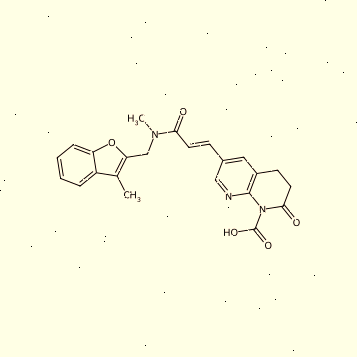 Cc1c(CN(C)C(=O)/C=C/c2cnc3c(c2)CCC(=O)N3C(=O)O)oc2ccccc12